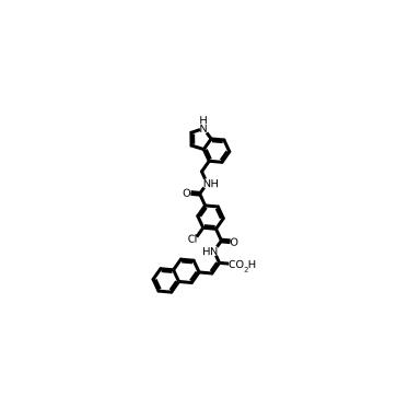 O=C(O)/C(=C/c1ccc2ccccc2c1)NC(=O)c1ccc(C(=O)NCc2cccc3[nH]ccc23)cc1Cl